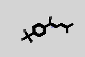 CC(C)=C/C=C(\Cl)c1ccc(C(F)(F)F)cc1